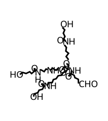 O=CCCCCC(=O)NC(COCCCCCCNC(=O)CCCCO)(COCCCCCCNC(=O)CCCCO)COCCCNCCCNC(=O)CCCCO